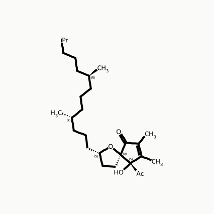 CC(=O)[C@]1(O)C(C)=C(C)C(=O)[C@@]12CC[C@H](CCC[C@H](C)CCC[C@H](C)CCCC(C)C)O2